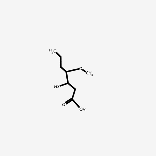 CCCC(OC)C(S)CC(=O)O